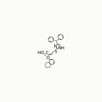 O=C(O)C(=CCSc1nc(C(c2ccccc2)c2ccccc2)c[nH]1)Oc1cccc2c1CCCC2